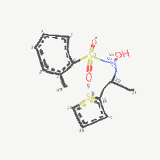 Cc1ccccc1S(=O)(=O)N(O)C(C)c1cccs1